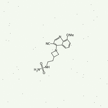 COc1cccc2c(N3CC(CCNS(N)(=O)=O)C3)c(C#N)cnc12